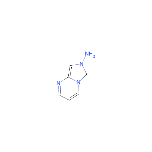 NN1C=C2N=CC=CN2C1